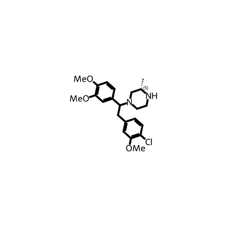 COc1cc(CC(c2ccc(OC)c(OC)c2)N2CCN[C@@H](C)C2)ccc1Cl